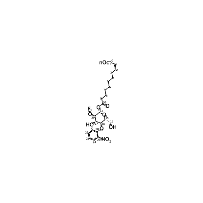 CCCCCCCC/C=C\CCCCCCCC(=O)O[C@@H]1O[C@H](CO)[C@@H](Oc2ccccc2[N+](=O)[O-])[C@H](O)[C@H]1OF